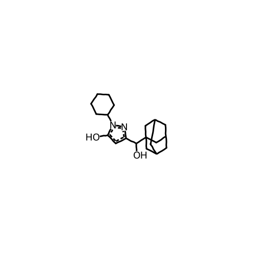 Oc1cc(C(O)C23CC4CC(CC(C4)C2)C3)nn1C1CCCCC1